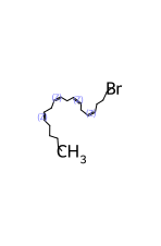 CCCCC/C=C\C/C=C\C/C=C\C/C=C\CCCBr